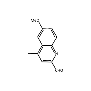 COc1ccc2nc(C=O)cc(C)c2c1